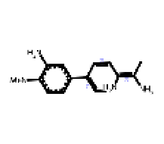 C\C=C(/C=C\C(N)=C(/C)N)c1ccc(NC)c(N)c1